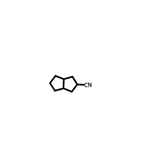 N#CC1CC2CCCC2C1